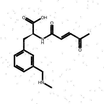 CNCc1cccc(C[C@H](NC(=O)/C=C/C(C)=O)C(=O)O)c1